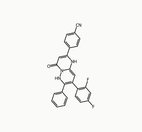 N#Cc1ccc(C2=CC(=O)N3NC(c4ccccc4)=C(c4ccc(F)cc4F)C=C3N2)cc1